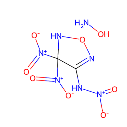 NO.O=[N+]([O-])NC1=NONC1([N+](=O)[O-])[N+](=O)[O-]